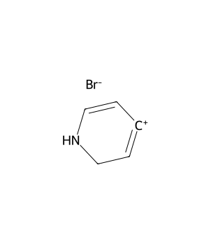 [Br-].[C+]1=CCNC=C1